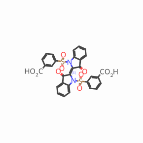 O=C(O)c1cccc(S(=O)(=O)N2/C(=C3\C(=O)c4ccccc4N3S(=O)(=O)c3cccc(C(=O)O)c3)C(=O)c3ccccc32)c1